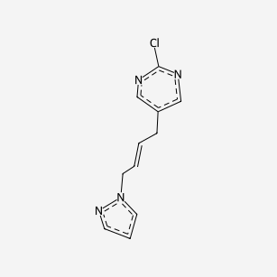 Clc1ncc(CC=CCn2cccn2)cn1